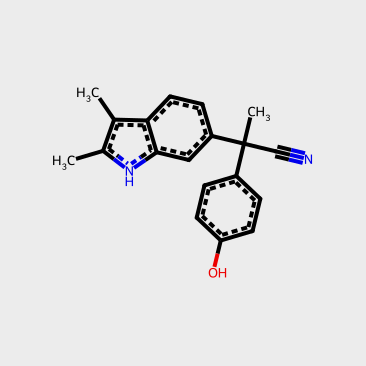 Cc1[nH]c2cc(C(C)(C#N)c3ccc(O)cc3)ccc2c1C